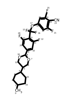 CC1CCC(C2COC(c3cc(F)c(C(F)(F)Oc4cc(F)c(C#N)c(F)c4)c(F)c3)OC2)CC1